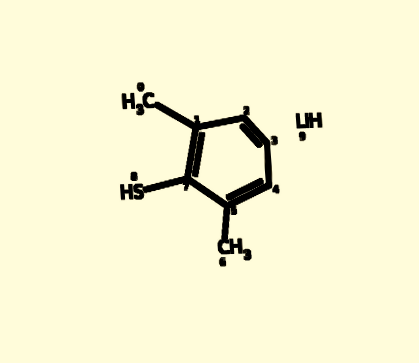 Cc1cccc(C)c1S.[LiH]